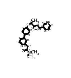 CC(Oc1ccc(-c2cccc(CC(=O)N(C)C)c2)cc1)C(O)CCc1cccnc1